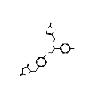 C=C1OC=C(COC(COc2ccc(CC3SC(=O)CC3=O)cc2)c2ccc(C(F)(F)F)cc2)O1